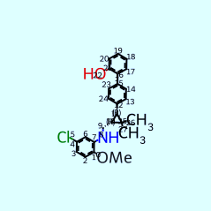 COc1ccc(Cl)cc1NC[C@@H]1[C@@H](c2ccc(-c3ccccc3O)cc2)C1(C)C